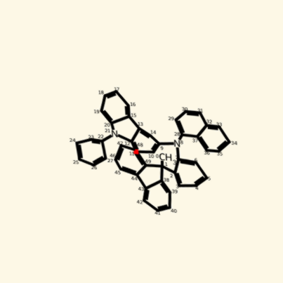 CC1(c2ccccc2N(c2ccc3c(c2)c2ccccc2n3-c2ccccc2)c2cccc3ccccc23)c2ccccc2-c2ccccc21